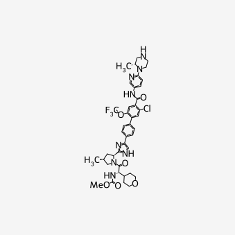 COC(=O)N[C@H](C(=O)N1C[C@@H](C)C[C@H]1c1nc(-c2ccc(-c3cc(Cl)c(C(=O)Nc4ccc(N5CCNC[C@H]5C)nc4)cc3OC(F)(F)F)cc2)c[nH]1)C1CCOCC1